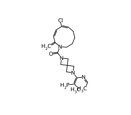 C=C1/C=C\C(Cl)=C/CCCCN1C(=O)N1CC2(C1)CN(C(/N=C\C)=C(/C)P)C2